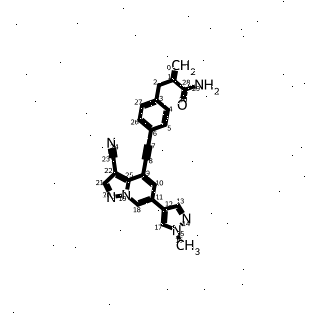 C=C(Cc1ccc(C#Cc2cc(-c3cnn(C)c3)cn3ncc(C#N)c23)cc1)C(N)=O